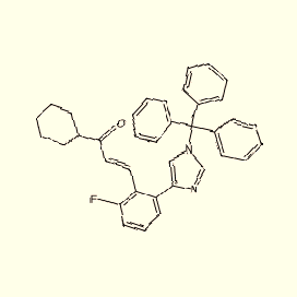 O=C(C=Cc1c(F)cccc1-c1cn(C(c2ccccc2)(c2ccccc2)c2ccccc2)cn1)C1CCCCC1